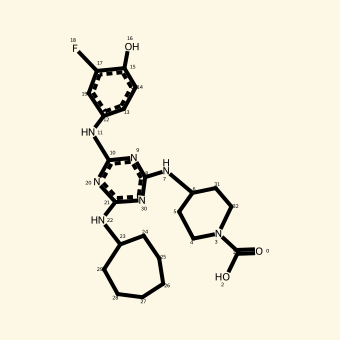 O=C(O)N1CCC(Nc2nc(Nc3ccc(O)c(F)c3)nc(NC3CCCCCC3)n2)CC1